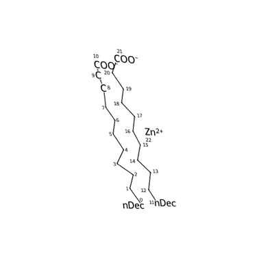 CCCCCCCCCCCCCCCCCCCC(=O)[O-].CCCCCCCCCCCCCCCCCCCC(=O)[O-].[Zn+2]